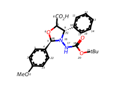 COc1ccc([C@H]2OC(C(=O)O)[C@H](c3ccccc3)N2NC(=O)OC(C)(C)C)cc1